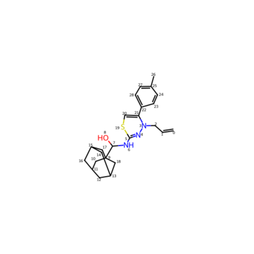 C=CCN1N=C(NC(O)C23CC4CC(CC(C4)C2)C3)SC=C1c1ccc(C)cc1